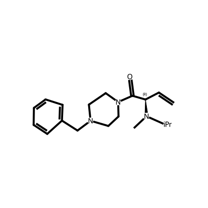 C=C[C@H](C(=O)N1CCN(Cc2ccccc2)CC1)N(C)C(C)C